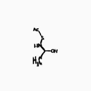 CC(=O)SNC(C)O